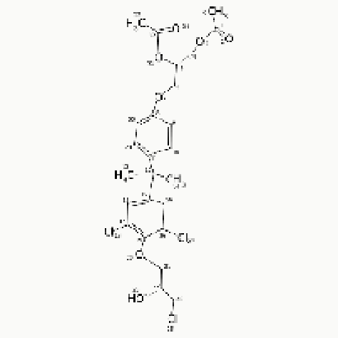 CC(=O)OC[C@H](COc1ccc(C(C)(C)C2=CC(Cl)=C(OC[C@@H](O)CCl)C(Cl)C2)cc1)OC(C)=O